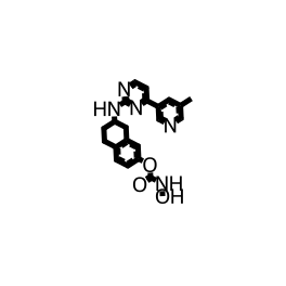 Cc1cncc(-c2ccnc(NC3CCc4ccc(OC(=O)NO)cc4C3)n2)c1